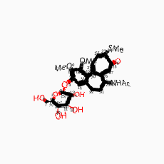 COc1c(O[C@@H]2O[C@H](CO)[C@@H](O)[C@@H](O)[C@@H]2O)cc2c(c1OC)-c1ccc(SC)c(=O)cc1C(NC(C)=O)CC2